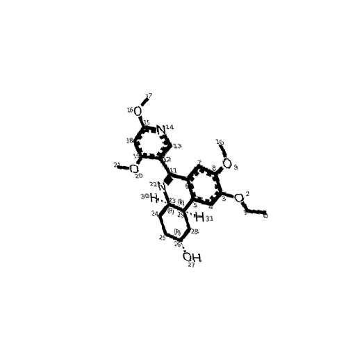 CCOc1cc2c(cc1OC)C(c1cnc(OC)cc1OC)=N[C@@H]1CC[C@@H](O)C[C@H]21